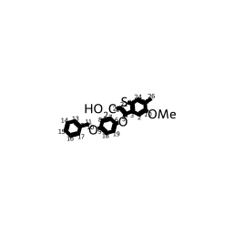 COc1cc2c(Oc3ccc(OCc4ccccc4)cc3)c(C(=O)O)sc2cc1C